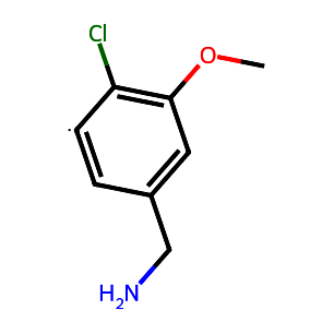 COc1cc(CN)c[c]c1Cl